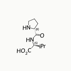 CC(C)[C@H](NC(=O)[C@H]1CCCN1)C(=O)O